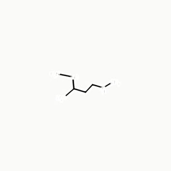 CPCCC(C)NN